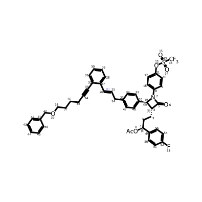 CC(=O)O[C@@H](CC[C@H]1C(=O)N(c2ccc(OS(=O)(=O)C(F)(F)F)cc2)[C@@H]1c1ccc(C/C=C/c2ccccc2C#CCCCCOCc2ccccc2)cc1)c1ccc(F)cc1